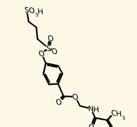 C=C(C)C(=O)NCOC(=O)c1ccc(OS(=O)(=O)CCCS(=O)(=O)O)cc1